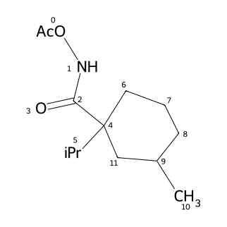 CC(=O)ONC(=O)C1(C(C)C)CCCC(C)C1